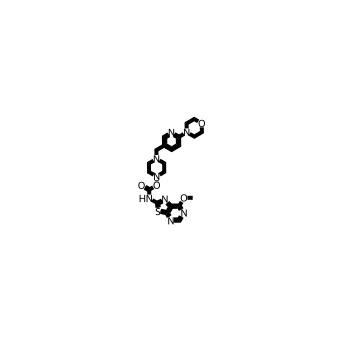 COc1ncnc2sc(NC(=O)ON3CCN(Cc4ccc(N5CCOCC5)nc4)CC3)nc12